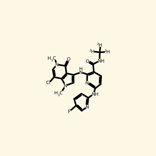 [2H]C([2H])([2H])NC(=O)c1ccc(Nc2ccc(F)cn2)nc1Nc1cn(C)c2c(Cl)cn(C)c(=O)c12